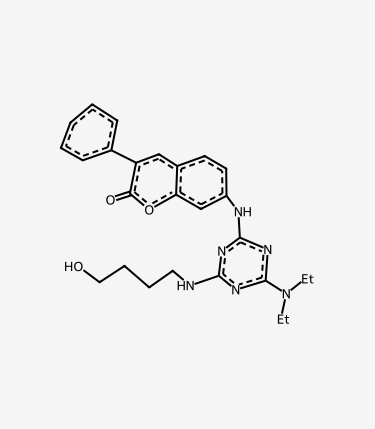 CCN(CC)c1nc(NCCCCO)nc(Nc2ccc3cc(-c4ccccc4)c(=O)oc3c2)n1